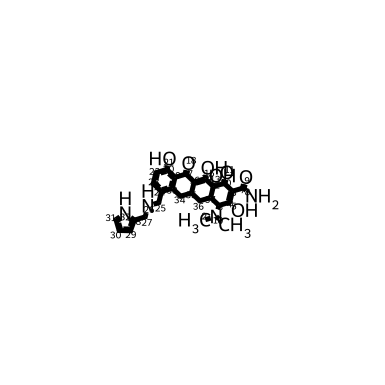 CN(C)C1C(O)=C(C(N)=O)C(=O)C2(O)C(O)=C3C(=O)c4c(O)ccc(CNCc5ccc[nH]5)c4CC3CC12